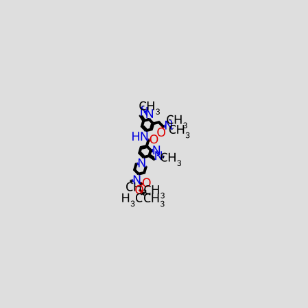 CCN(C(=O)OC(C)(C)C)C1CCN(c2ccc(C(=O)Nc3cc(CC(=O)N(C)C)c4nn(C)cc4c3)c3nn(C)cc23)CC1